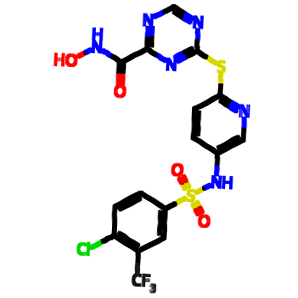 O=C(NO)c1ncnc(Sc2ccc(NS(=O)(=O)c3ccc(Cl)c(C(F)(F)F)c3)cn2)n1